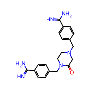 N=C(N)c1ccc(CN2CCN(Cc3ccc(C(=N)N)cc3)C(=O)C2)cc1